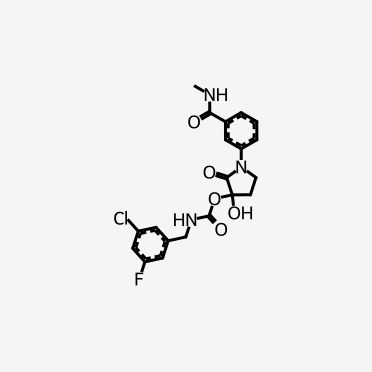 CNC(=O)c1cccc(N2CCC(O)(OC(=O)NCc3cc(F)cc(Cl)c3)C2=O)c1